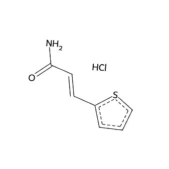 Cl.NC(=O)C=Cc1cccs1